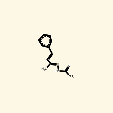 CC(C=Cc1ccccc1)=NNC(N)=S